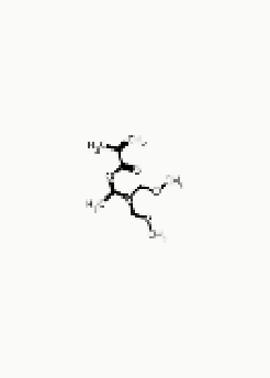 C=C(C)C(=O)OC(C)N(COC)COC